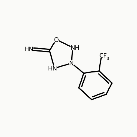 N=C1NN(c2ccccc2C(F)(F)F)NO1